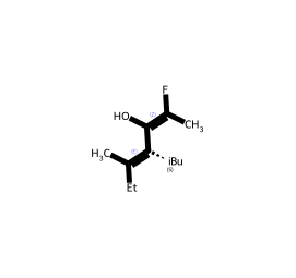 CC/C(C)=C(/C(O)=C(\C)F)[C@@H](C)CC